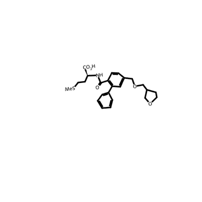 CSCC[C@H](NC(=O)c1ccc(COCC2CCOC2)cc1-c1ccccc1)C(=O)O